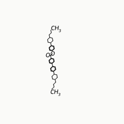 CCCCCC1CCC(c2ccc(-c3ccc(C(=O)Oc4ccc(C5CCC(CCCC)CC5)cc4)cc3)cc2)CC1